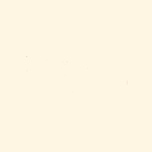 C=CC(C)(O)C=CC1=C(C)C(=O)C(OC(=O)COc2ccccc2)CC1(C)C